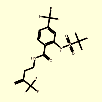 C=C(CCNC(=O)c1ccc(C(F)(F)F)cc1NS(=O)(=O)C(C)(C)C)C(F)(F)F